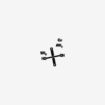 O=S(=O)(O)O.[AlH3].[Cu].[SiH4]